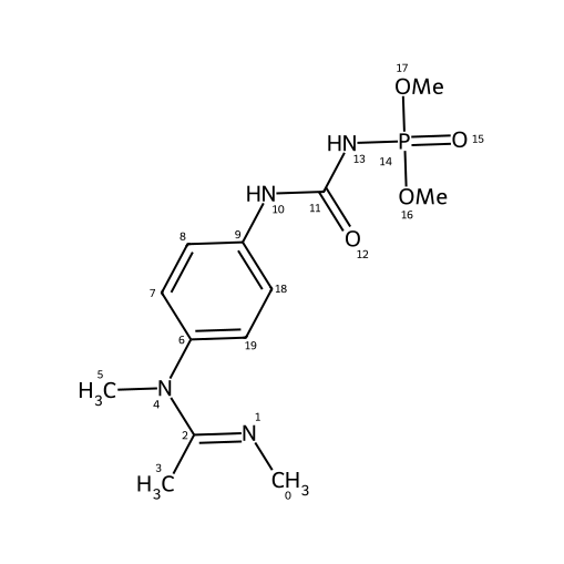 CN=C(C)N(C)c1ccc(NC(=O)NP(=O)(OC)OC)cc1